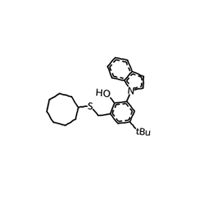 CC(C)(C)c1cc(CSC2CCCCCCC2)c(O)c(-n2ccc3ccccc32)c1